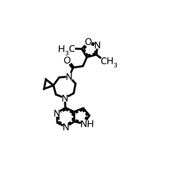 Cc1noc(C)c1CC(=O)N1CCN(c2ncnc3[nH]ccc23)CC2(CC2)C1